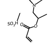 C=CC(=O)OC(C)CN(C)C.CS(=O)(=O)O